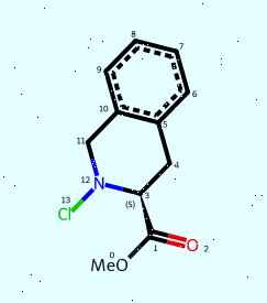 COC(=O)[C@@H]1Cc2ccccc2CN1Cl